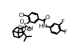 CC(C)C(O)C1(O)C2CC1CC(S(=O)(=O)c1cc(C(=O)Nc3ccc(F)c(F)c3)ccc1Cl)C2